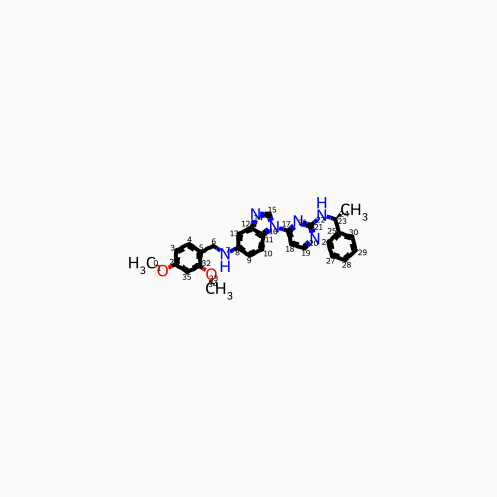 COc1ccc(CNc2ccc3c(c2)ncn3-c2ccnc(N[C@@H](C)c3ccccc3)n2)c(OC)c1